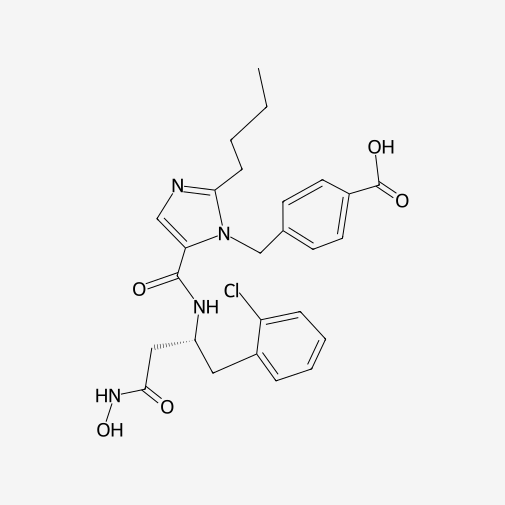 CCCCc1ncc(C(=O)N[C@@H](CC(=O)NO)Cc2ccccc2Cl)n1Cc1ccc(C(=O)O)cc1